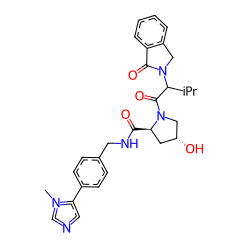 CC(C)C(C(=O)N1C[C@H](O)C[C@H]1C(=O)NCc1ccc(-c2cncn2C)cc1)N1Cc2ccccc2C1=O